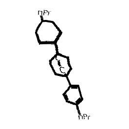 CCCc1ccc(C23CCC(C4CCC(CCC)CC4)(CC2)CC3)cc1